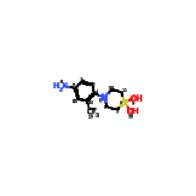 Nc1ccc(N2CCS(O)(O)CC2)c(C(F)(F)F)c1